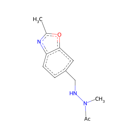 CC(=O)N(C)NCc1ccc2nc(C)oc2c1